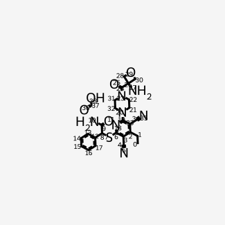 CCc1c(C#N)c(SC(C(N)=O)c2ccccc2)nc(N2CCN(C(=O)C3(N)COC3)CC2)c1C#N.O=CO